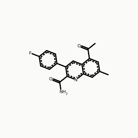 CC(=O)c1cc(C)cc2nc(C(N)=O)c(-c3ccc(F)cc3)cc12